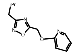 CC(C)Cc1noc(COc2ccccn2)n1